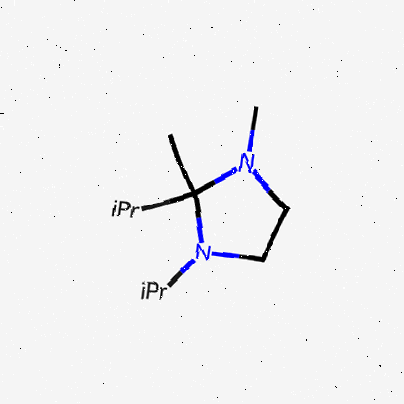 CC(C)N1CCN(C)C1(C)C(C)C